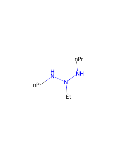 CCCNN(CC)NCCC